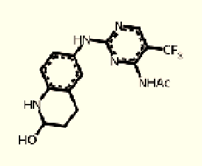 CC(=O)Nc1nc(Nc2ccc3c(c2)CCC(O)N3)ncc1C(F)(F)F